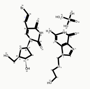 Nc1nc2c(ncn2COCCO)c(=O)[nH]1.O=C(O)P(=O)(O)O.O=c1[nH]c(=O)n([C@H]2C[C@H](O)[C@@H](CO)O2)cc1/C=C/Br